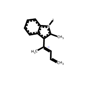 C=C/C=C(\C)c1c(C)n(I)c2ccccc12